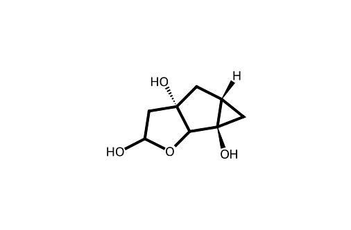 OC1C[C@@]2(O)C[C@@H]3C[C@]3(O)C2O1